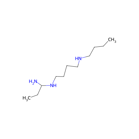 CCCCNCCCCNC(N)CC